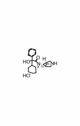 CN(C(=O)C(O)(c1ccccc1)C1CCCCC1)[C@H]1C2CNC[C@@H]21.Cl